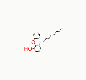 CCCCCCCCCc1cccc(O)c1Oc1ccccc1